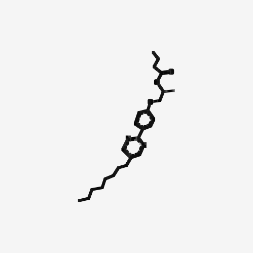 CCCCCCCCc1cnc(-c2ccc(OCC(C)OC(=O)CCC)cc2)nc1